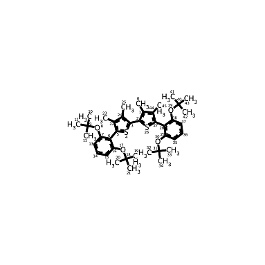 Cc1c(-c2sc(-c3c(OC(C)(C)C)cccc3OC(C)(C)C)c(C)c2C)sc(-c2c(OC(C)(C)C)cccc2OC(C)(C)C)c1C